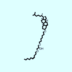 CCCCC/C=C\CCCOC[C@@H](O)COCCCCCCCO[C@H]1CC[C@@]2(C)C(=CC[C@@H]3C2CC[C@@]2(C)C3CC[C@@H]2[C@H](C)CCCC(C)C)C1